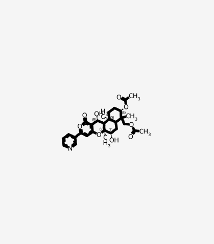 CC(=O)OCC1(C)C2C[C@H](O)[C@@]3(C)Oc4cc(-c5cccnc5)oc(=O)c4[C@H](O)C3[C@@]2(C)CC[C@@H]1OC(C)=O